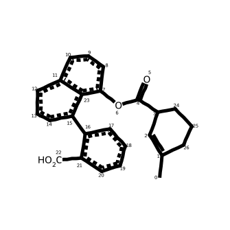 CC1=CC(C(=O)Oc2cccc3cccc(-c4ccccc4C(=O)O)c23)CCC1